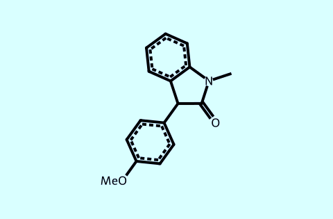 COc1ccc(C2C(=O)N(C)c3ccccc32)cc1